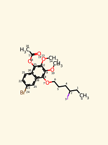 CCC(I)CCCOc1c(OC)c(OC)c(OC(C)=O)c2ccc(Br)cc12